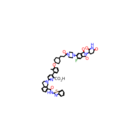 Cc1c(OC2CCC(CCC(=O)N3CCN(c4cc5c(cc4F)C(=O)N(C4CCC(=O)NC4=O)C5=O)CC3)CC2)cccc1-c1ccc(N2CCc3cccc(C(=O)Nc4nc5ccccc5s4)c3C2)nc1C(=O)O